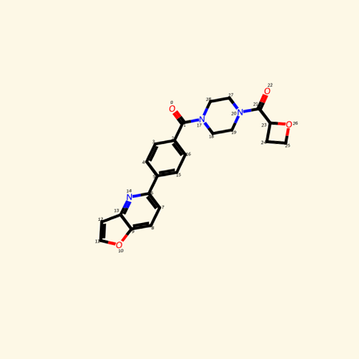 O=C(c1ccc(-c2ccc3occc3n2)cc1)N1CCN(C(=O)C2CCO2)CC1